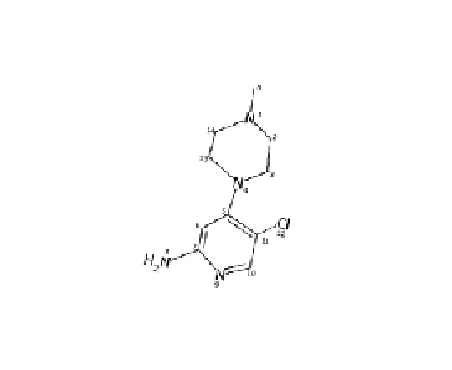 CN1CCN(c2cc(N)ncc2Cl)CC1